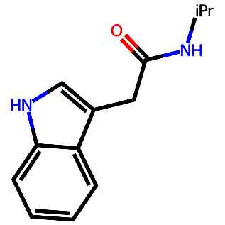 CC(C)NC(=O)Cc1c[nH]c2ccccc12